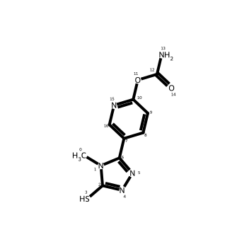 Cn1c(S)nnc1-c1ccc(OC(N)=O)nc1